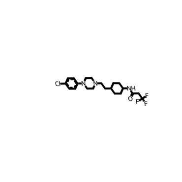 O=C(CC(F)(F)F)NC1CCC(CCN2CCN(c3ccc(Cl)cc3)CC2)CC1